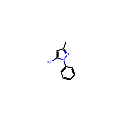 Cc1[c]c(N)n(-c2ccccc2)n1